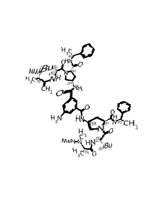 C=C(N[C@H](C(=O)N1C[C@@H](NC(=O)c2cc(N)cc(C(=O)N[C@H]3C[C@@H](C(=O)N[C@H](C)c4ccccc4)N(C(=O)[C@@H](NC(=O)[C@H](C)N(C)NC)[C@@H](C)CC)C3)c2)C[C@H]1C(=O)N[C@H](C)c1ccccc1)[C@@H](C)CC)[C@H](C)NC